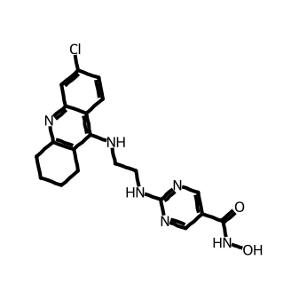 O=C(NO)c1cnc(NCCNc2c3c(nc4cc(Cl)ccc24)CCCC3)nc1